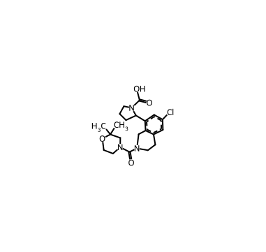 CC1(C)CN(C(=O)N2CCc3cc(Cl)cc(C4CCCN4C(=O)O)c3C2)CCO1